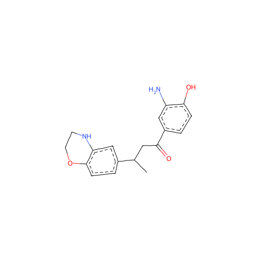 CC(CC(=O)c1ccc(O)c(N)c1)c1ccc2c(c1)NCCO2